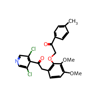 COc1ccc(CC(=O)c2c(Cl)cncc2Cl)c(OCC(=O)c2ccc(C)cc2)c1OC